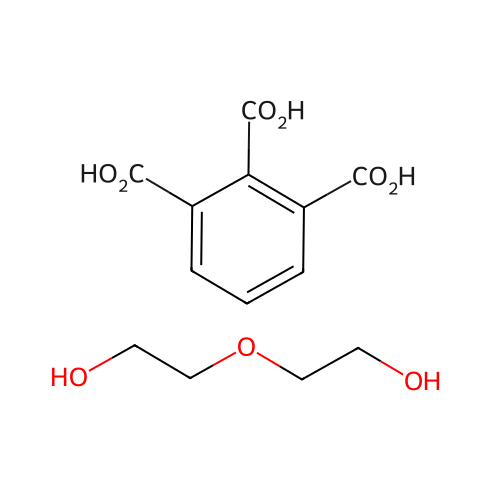 O=C(O)c1cccc(C(=O)O)c1C(=O)O.OCCOCCO